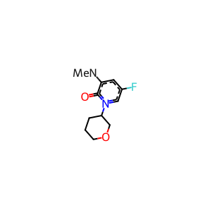 CNc1cc(F)cn(C2CCCOC2)c1=O